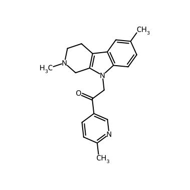 Cc1ccc2c(c1)c1c(n2CC(=O)c2ccc(C)nc2)CN(C)CC1